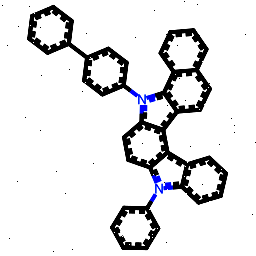 c1ccc(-c2ccc(-n3c4ccc5c(c6ccccc6n5-c5ccccc5)c4c4ccc5ccccc5c43)cc2)cc1